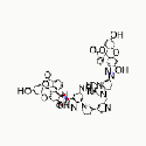 Nc1ccc(N(Cc2ccccn2)Cc2ccc(-c3ccnc(CN(Cc4ccccn4)c4ccc(/N=N/c5cc6c(cc5O)Oc5cc(O)ccc5C65OC(=O)c6ccccc65)cc4N)c3)cn2)c(/N=N/c2cc3c(cc2O)Oc2cc(O)ccc2C32OC(=O)c3ccccc32)c1